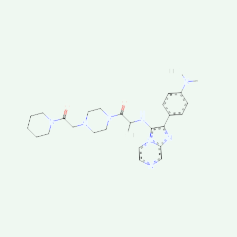 CC(Nc1c(-c2ccc(N(C)C)cc2)nc2cnccn12)C(=O)N1CCN(CC(=O)N2CCCCC2)CC1